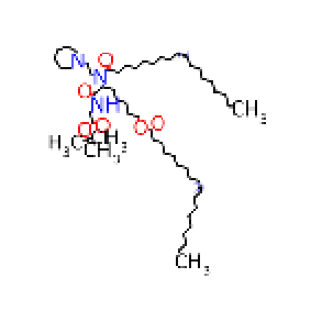 CCCCCCCC/C=C\CCCCCCCC(=O)OCCCCCC(C(=O)NCC(=O)OC(C)(C)C)N(CCN1CCCCCC1)C(=O)CCCCCCC/C=C\CCCCCCCC